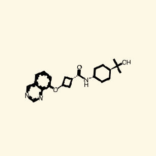 CC(C)(O)[C@H]1CC[C@H](NC(=O)[C@H]2C[C@H](Oc3cccc4cncnc34)C2)CC1